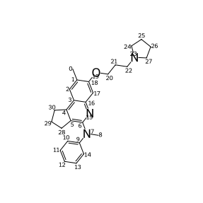 Cc1cc2c3c(c(N(C)c4ccccc4)nc2cc1OCCCN1CCCC1)CCC3